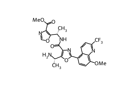 COC(=O)c1ncoc1[C@H](C)NC(=O)c1nc(-c2ccc(OC)c3nc(C(F)(F)F)ccc23)oc1[C@H](C)N